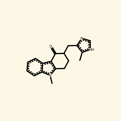 Cc1[nH]cnc1CC1CCc2c(c3ccccc3n2C)C1=O